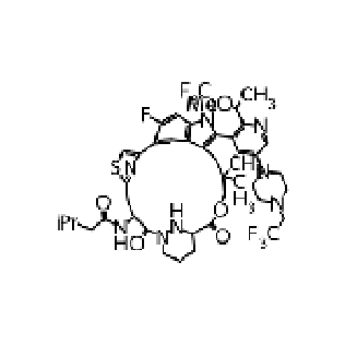 COC(C)c1ncc(N2CCN(CC(F)(F)F)CC2)cc1-c1c2c3cc(c(F)cc3n1CC(F)(F)F)-c1csc(n1)C[C@H](NC(=O)CC(C)C)C(=O)N1CCCC(N1)C(=O)OCC(C)(C)C2